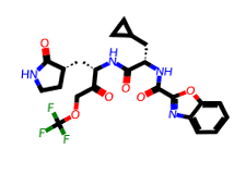 O=C(N[C@@H](CC1CC1)C(=O)N[C@@H](C[C@@H]1CCNC1=O)C(=O)COC(F)(F)F)c1nc2ccccc2o1